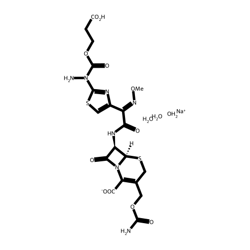 CO/N=C(/C(=O)N[C@@H]1C(=O)N2C(C(=O)[O-])=C(COC(N)=O)CS[C@H]12)c1csc(N(N)C(=O)OCCC(=O)O)n1.O.O.O.[Na+]